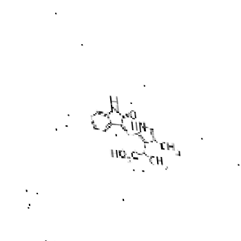 Cc1c[nH]c(C=C2C(=O)Nc3ccccc32)c1C(C)C(=O)O